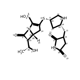 C[C@@H](O)[C@H]1C(=O)N2C(C(=O)O)=C(S[C@@H]3CN[C@H](CC4CC(=O)NC4=O)C3)C[C@H]12